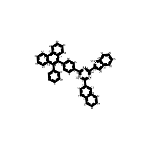 c1ccc(-c2c(-c3ccc(-c4nc(-c5ccc6ccccc6c5)nc(-c5cc6ccccc6s5)n4)cc3)c3ccccc3c3ccccc23)cc1